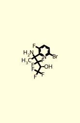 CC(N)(c1nc(Br)ccc1F)C(F)(F)[C@@H](O)C(F)(F)F